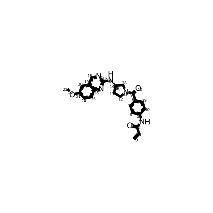 C=CC(=O)Nc1ccc(C(=O)N2CC[C@@H](Nc3ncc4cc(OC)ccc4n3)C2)cc1